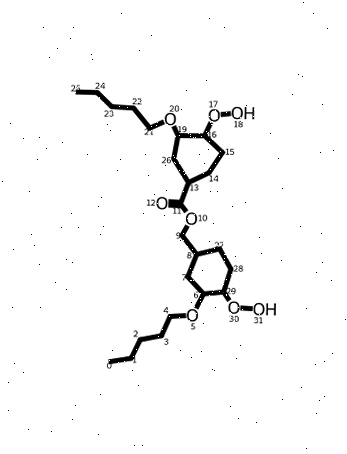 CCCCCOC1CC(COC(=O)C2CCC(OO)C(OCCCCC)C2)CCC1OO